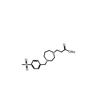 COC(=O)CCN1CCCN(Cc2ccc(S(C)(=O)=O)cc2)CC1